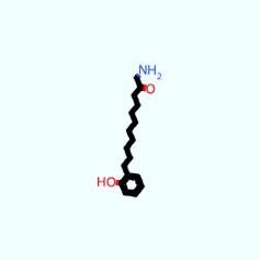 NCC(=O)CCCCCCCCCc1ccccc1O